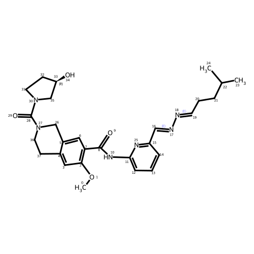 COc1cc2c(cc1C(=O)Nc1cccc(/C=N/N=C/CCC(C)C)n1)CN(C(=O)N1CC[C@@H](O)C1)CC2